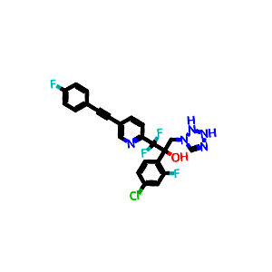 OC(CN1C=NNN1)(c1ccc(Cl)cc1F)C(F)(F)c1ccc(C#Cc2ccc(F)cc2)cn1